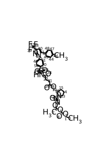 CCOC(=O)OC(C)ON=[N+]([O-])N1CCC[C@H]1COC(=O)CCC(=O)NS(=O)(=O)c1ccc(-n2nc(C(F)(F)F)cc2-c2ccc(C)cc2)cc1